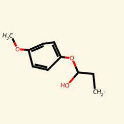 [CH2]CC(O)Oc1ccc(OC)cc1